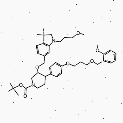 COCCCN1CC(C)(C)c2ccc(COC3CN(C(=O)OC(C)(C)C)CCC3c3ccc(OCCCOCc4ccccc4OC)cc3)cc21